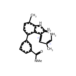 C=c1[nH]c2c(C)ccc(-c3cccc(C(=O)NC)c3)c2/c1=C/C(C)=C\N